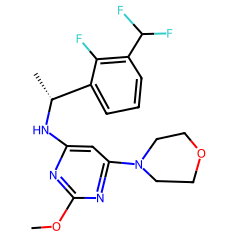 COc1nc(N[C@H](C)c2cccc(C(F)F)c2F)cc(N2CCOCC2)n1